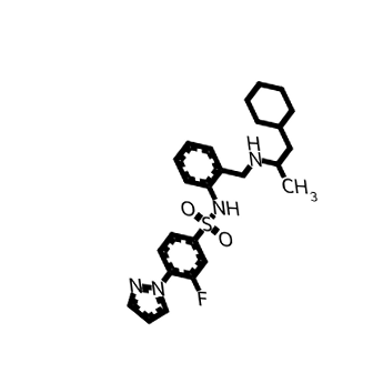 CC(CC1CCCCC1)NCc1ccccc1NS(=O)(=O)c1ccc(-n2cccn2)c(F)c1